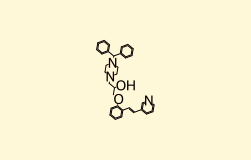 OC(COc1ccccc1/C=C/c1cccnc1)CN1CCN(C(c2ccccc2)c2ccccc2)CC1